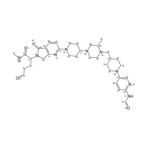 CNC(=O)C(CCC=O)N1Cc2nc(N3CCC(N4CCN(CC5CCN(c6ccc(NC=O)nc6)CC5)C(C)C4)CC3)ccc2C1=O